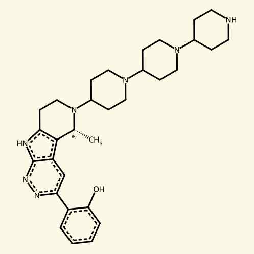 C[C@@H]1c2c([nH]c3nnc(-c4ccccc4O)cc23)CCN1C1CCN(C2CCN(C3CCNCC3)CC2)CC1